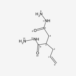 C=CCC(CC(=O)NN)C(=O)NN